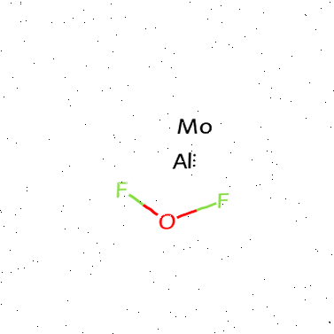 FOF.[Al].[Mo]